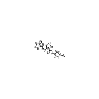 N#Cc1ccc(CCC(=O)N2CCCc3cc(N4CCCC4=O)ccc32)cc1